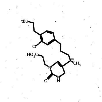 C[C@H](CCCc1ccc(CCC(C)(C)C)c(Cl)c1)C1=CN(CCC(=O)O)C(=O)NC1